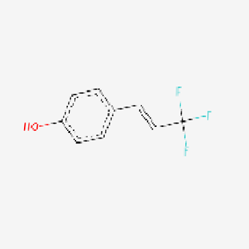 Oc1ccc(C=CC(F)(F)F)cc1